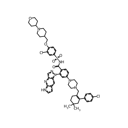 CC1(C)CCC(CN2CCN(c3ccc(C(=O)NS(=O)(=O)c4ccc(OCC5CCN(C6CCOCC6)CC5)c(Cl)c4)c(-n4ncc5nc6[nH]ccc6cc54)c3)CC2)=C(c2ccc(Cl)cc2)C1